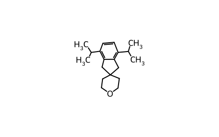 CC(C)c1ccc(C(C)C)c2c1CC1(CCOCC1)C2